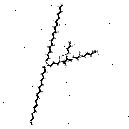 CCCCC/C=C/C/C=C/CCCCCCCCN(CCCCCCCC/C=C/C/C=C/CCCCC)CCCNC(=O)C(CCCNCCCN)NCCCN